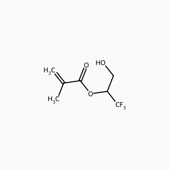 C=C(C)C(=O)OC(CO)C(F)(F)F